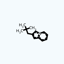 CC(C)(C)Cc1cc2ccccn2c1